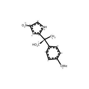 COc1ccc([C@](C)(C(=O)O)c2nc([N+](=O)[O-])c[nH]2)cc1